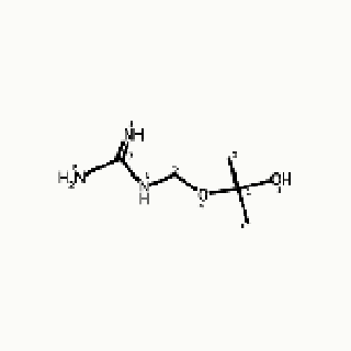 CC(C)(O)OCNC(=N)N